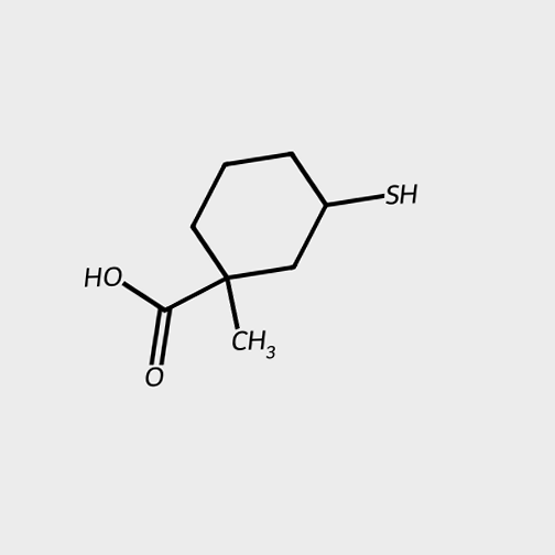 CC1(C(=O)O)CCCC(S)C1